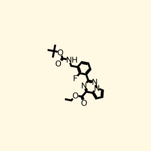 CCOC(=O)c1nc(-c2cccc(CNC(=O)OC(C)(C)C)c2F)nn2cccc12